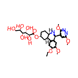 CCOc1cc2c(cc1OC)C(c1cc(OC)nnc1OC)=N[C@@H]1CC[C@@H](OC(=O)[C@H](O)[C@@H](O)[C@H](O)[C@H](O)CO)C[C@H]21